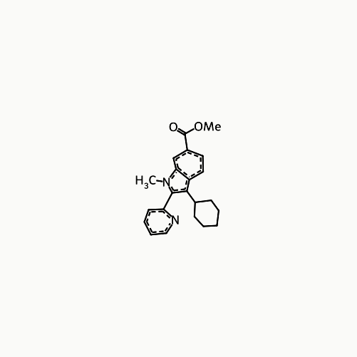 COC(=O)c1ccc2c(C3CCCCC3)c(-c3ccccn3)n(C)c2c1